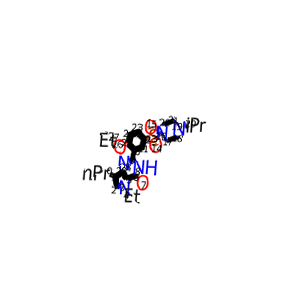 CCCc1cn(CC)c2c(=O)[nH]c(-c3cc(S(=O)(=O)N4CCN(C(C)C)CC4)ccc3OCC)nc12